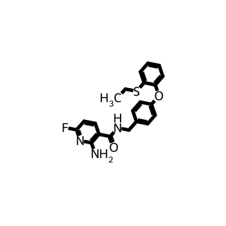 CCSc1ccccc1Oc1ccc(CNC(=O)c2ccc(F)nc2N)cc1